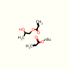 C=CC(=O)OCC(C)O.C=CC(=O)OCCCC